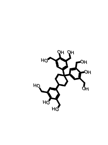 OCc1cc(C2CCC(c3cc(CO)c(O)c(CO)c3)(c3cc(CO)c(O)c(CO)c3)CC2)cc(CO)c1O